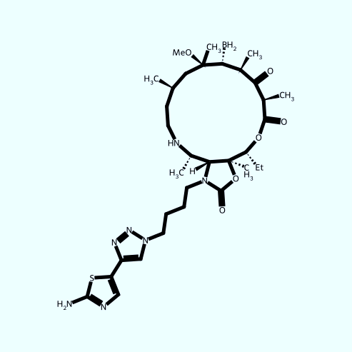 B[C@@H]1[C@@H](C)C(=O)[C@@H](C)C(=O)O[C@H](CC)[C@@]2(C)OC(=O)N(CCCCn3cc(-c4cnc(N)s4)nn3)[C@@H]2[C@H](C)NCC[C@@H](C)C[C@@]1(C)OC